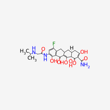 CC(C)NCC(=O)Nc1cc(F)c2c(c1O)C(=O)C1=C(O)[C@]3(O)C(=O)C(C(N)=O)=C(O)C[C@@H]3CC1C2